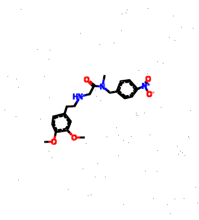 COc1ccc(CCNCC(=O)N(C)Cc2ccc([N+](=O)[O-])cc2)cc1OC